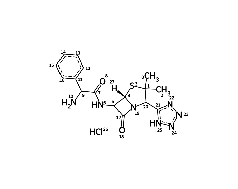 CC1(C)S[C@H]2C(NC(=O)C(N)c3ccccc3)C(=O)N2C1c1nnn[nH]1.Cl